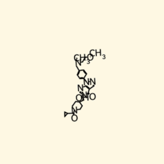 COCCN(C)Cc1ccc(-n2ncc3c(=O)n(CC4(O)CCN(C(=O)C5CC5)CC4)cnc32)cc1